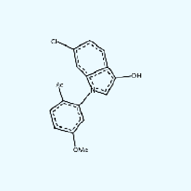 COc1ccc(C(C)=O)c(-n2cc(O)c3ccc(Cl)cc32)c1